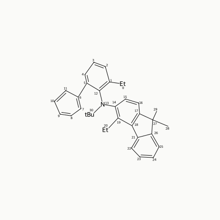 CCc1cccc(-c2ccccc2)c1N(c1ccc2c(c1CC)-c1ccccc1C2(C)C)C(C)(C)C